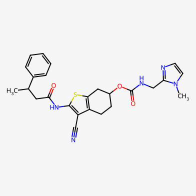 CC(CC(=O)Nc1sc2c(c1C#N)CCC(OC(=O)NCc1nccn1C)C2)c1ccccc1